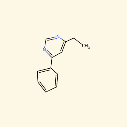 CCc1cc(-c2ccccc2)ncn1